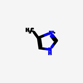 CC1=CNC=[N+]1